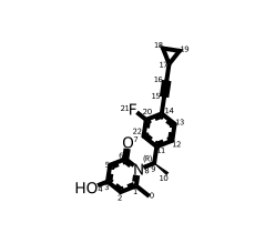 Cc1cc(O)cc(=O)n1[C@H](C)c1ccc(C#CC2CC2)c(F)c1